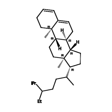 CCC(CCC(C)[C@H]1CC[C@H]2[C@@H]3CC=C4C=CCC[C@]4(C)[C@H]3CC[C@]12C)C(C)C